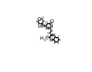 Cc1nc2ccccc2nc1/C=C/c1nc(Cl)cc(NC2CCOCC2)n1